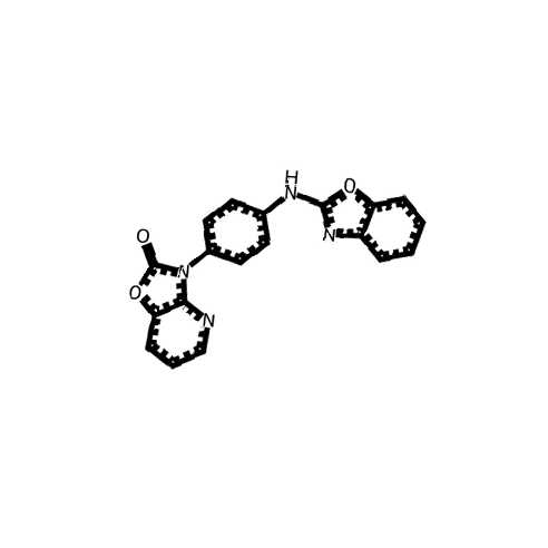 O=c1oc2cccnc2n1-c1ccc(Nc2nc3ccccc3o2)cc1